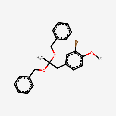 CCOc1ccc(CC(C)(OCc2ccccc2)OCc2ccccc2)cc1Br